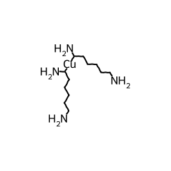 NCCCCC[CH](N)[Cu][CH](N)CCCCCN